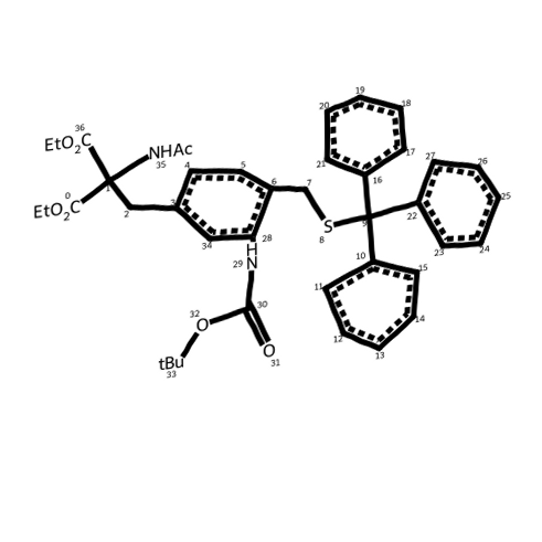 CCOC(=O)C(Cc1ccc(CSC(c2ccccc2)(c2ccccc2)c2ccccc2)c(NC(=O)OC(C)(C)C)c1)(NC(C)=O)C(=O)OCC